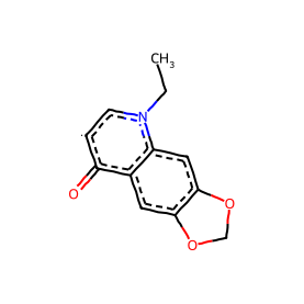 CCn1c[c]c(=O)c2cc3c(cc21)OCO3